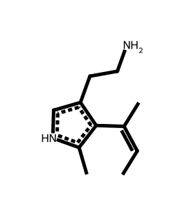 C/C=C(/C)c1c(CCN)c[nH]c1C